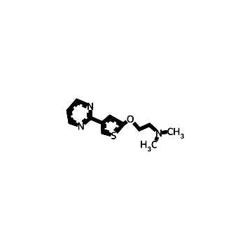 CN(C)CCOc1cc(-c2ncccn2)cs1